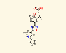 CCc1cc(-c2noc(-c3cc(C)nc(C4CCCC4)c3)n2)cc(C)c1OCC(=O)O